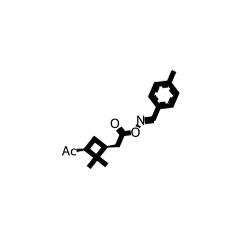 CC(=O)[C@H]1C[C@@H](CC(=O)ON=Cc2ccc(C)cc2)C1(C)C